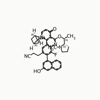 C[C@H](Oc1nc2c(F)c(-c3cc(O)cc4ccccc34)c(CCC#N)cc2c2c1c(=O)ccn2[C@H]1[C@H]2CN[C@@H]1C2)[C@@H]1CCCN1C